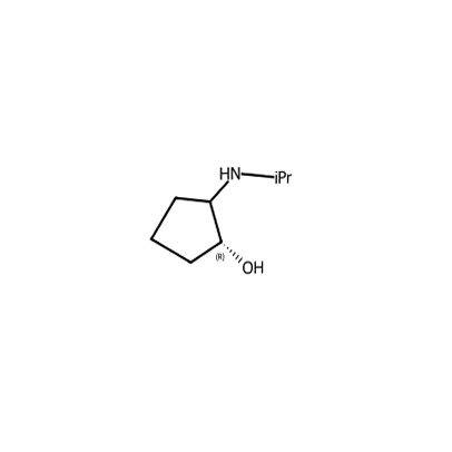 CC(C)NC1CCC[C@H]1O